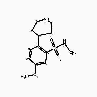 CNS(=O)(=O)c1cc(OC)ccc1C1CCNCC1